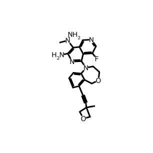 CN(N)c1c(N)nc(N2CCOCc3c(C#CC4(C)COC4)cccc32)c2c(F)cncc12